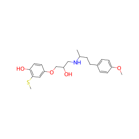 COc1ccc(CCC(C)NCC(O)COc2ccc(O)c(SC)c2)cc1